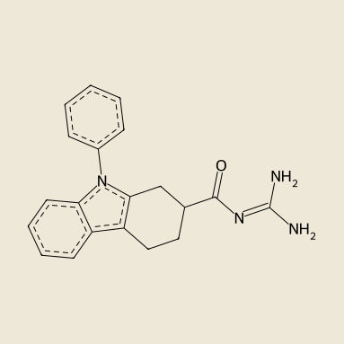 NC(N)=NC(=O)C1CCc2c(n(-c3ccccc3)c3ccccc23)C1